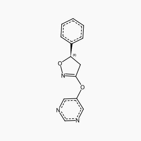 c1ccc([C@H]2CC(Oc3cncnc3)=NO2)cc1